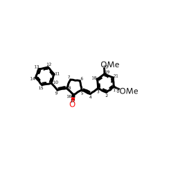 COc1cc(/C=C2\CC/C(=C\c3ccccc3)C2=O)cc(OC)c1